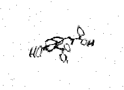 COC(=O)C12CC3CC(O)(CC(C=C(C)C(=O)O)(C3)C1)C2